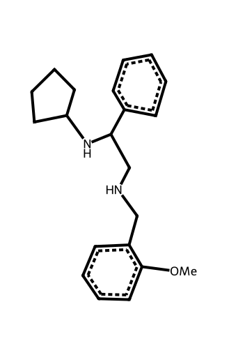 COc1ccccc1CNCC(NC1CCCC1)c1ccccc1